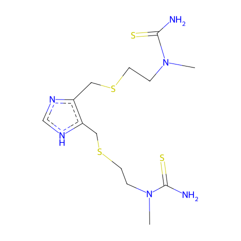 CN(CCSCc1nc[nH]c1CSCCN(C)C(N)=S)C(N)=S